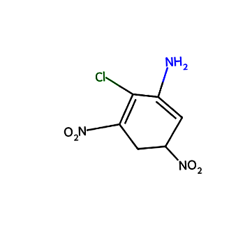 NC1=CC([N+](=O)[O-])CC([N+](=O)[O-])=C1Cl